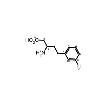 NC(CCc1cccc(Cl)c1)CC(=O)O